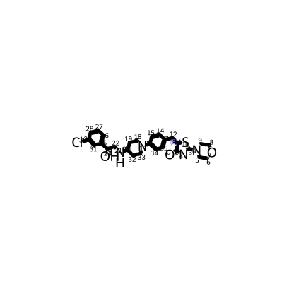 O=C1N=C(N2CCOCC2)S/C1=C/c1ccc(N2CCC(NC[C@H](O)c3cccc(Cl)c3)CC2)cc1